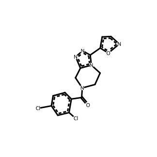 O=C(c1ccc(Cl)cc1Cl)N1CCn2c(nnc2-c2ccno2)C1